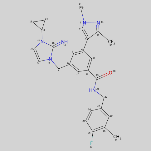 CCn1cc(-c2cc(Cn3ccn(C4CC4)c3=N)cc(C(=O)NCc3ccc(F)c(C)c3)c2)c(C(F)(F)F)n1